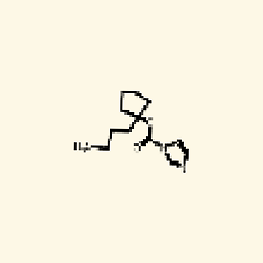 CCCCC1(OC(=O)n2ccnc2)CCCC1